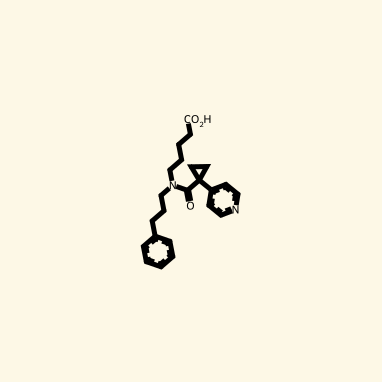 O=C(O)CCCCN(CCCc1ccccc1)C(=O)C1(c2ccncc2)CC1